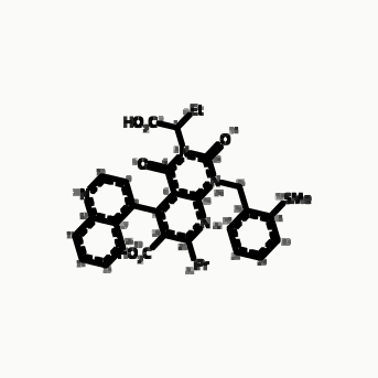 CCC(C(=O)O)n1c(=O)c2c(-c3ccnc4ccccc34)c(C(=O)O)c(C(C)C)nc2n(Cc2ccccc2SC)c1=O